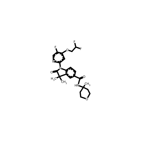 CC1(NC(=O)c2ccc3c(c2)C(C)(C)C(=O)N3c2cc(OCC(F)F)c(F)cn2)CCOCC1